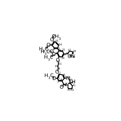 COc1cc2c(cc1OCCCOc1cc(C3CC=NO3)cc(-c3ccc(OC)c(OC)c3OC)c1OC)N=C[C@@H]1CCCN1C2=O